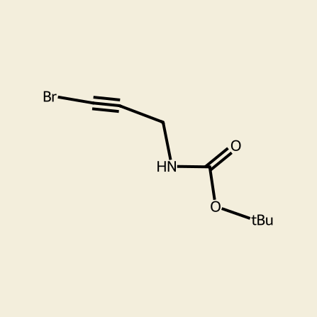 CC(C)(C)OC(=O)NCC#CBr